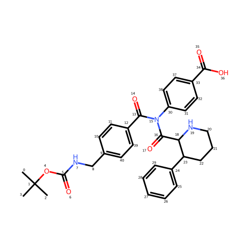 CC(C)(C)OC(=O)NCc1ccc(C(=O)N(C(=O)C2NCCCC2c2ccccc2)c2ccc(C(=O)O)cc2)cc1